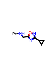 CC(C)NCc1nc(C2CC2)no1